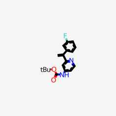 C=C(c1cccc(F)c1)c1cc(NC(=O)OC(C)(C)C)ccn1